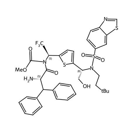 COC(=O)N(C(=O)[C@@H](N)C(c1ccccc1)c1ccccc1)[C@H](c1ccc([C@@H](CO)N(CCC(C)(C)C)S(=O)(=O)c2ccc3ncsc3c2)s1)C(F)(F)F